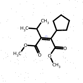 COC(=O)/C(=C(\C(=O)OC)C1CCCC1)C(C)C